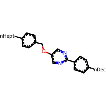 CCCCCCCCCCc1ccc(-c2ncc(OCc3ccc(CCCCCCC)cc3)cn2)cc1